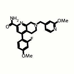 COc1ccc(-c2cc(C(N)=O)nc3c2CCN(Cc2ccnc(OC)c2)C3)c(F)c1